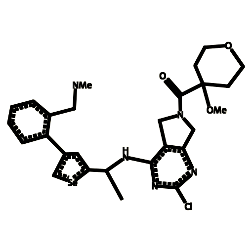 CNCc1ccccc1-c1c[se]c(C(C)Nc2nc(Cl)nc3c2CN(C(=O)C2(OC)CCOCC2)C3)c1